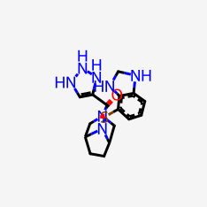 O=C(C1=CNNN1)N1CC2CCC(C1)N2Sc1cccc2c1NCN2